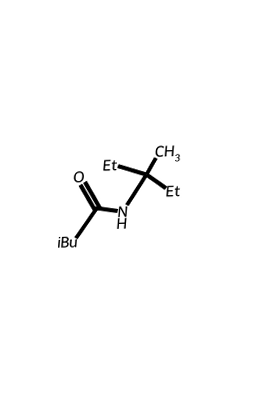 CCC(C)C(=O)NC(C)(CC)CC